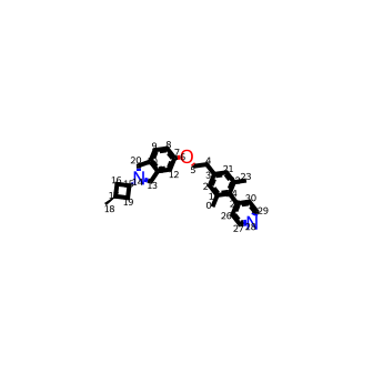 Cc1cc(CCOc2ccc3c(c2)CN([C@H]2C[C@H](C)C2)C3)cc(C)c1-c1ccncc1